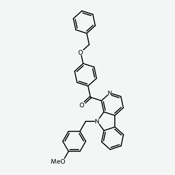 COc1ccc(Cn2c3ccccc3c3ccnc(C(=O)c4ccc(OCc5ccccc5)cc4)c32)cc1